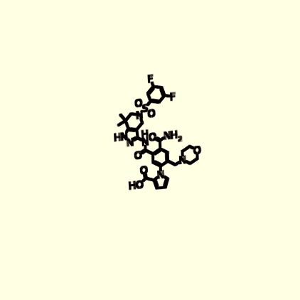 CC1(C)CN(S(=O)(=O)c2cc(F)cc(F)c2)Cc2c(NC(=O)c3cc(-n4cccc4C(=O)O)c(CN4CCOCC4)cc3C(N)=O)n[nH]c21